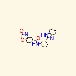 CN1C(=O)COc2ccc(C(=O)N[C@@H]3CCC[C@H](c4nc5ccccc5[nH]4)C3)cc21